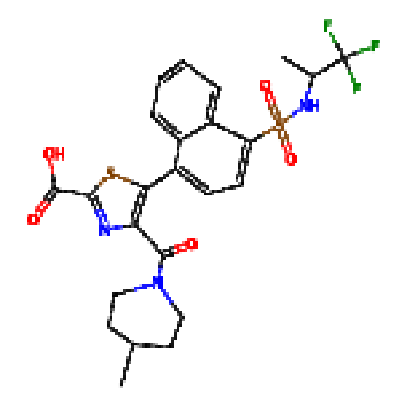 CC1CCN(C(=O)c2nc(C(=O)O)sc2-c2ccc(S(=O)(=O)NC(C)C(F)(F)F)c3ccccc23)CC1